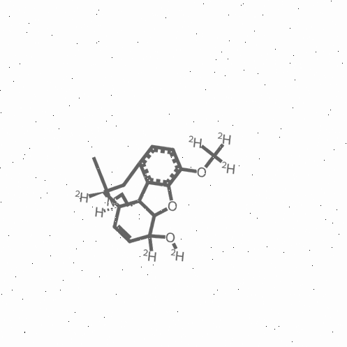 [2H]OC1([2H])C=C[C@@H]2[C@@]34CCN(C)[C@]2([2H])Cc2ccc(OC([2H])([2H])[2H])c(c23)OC14